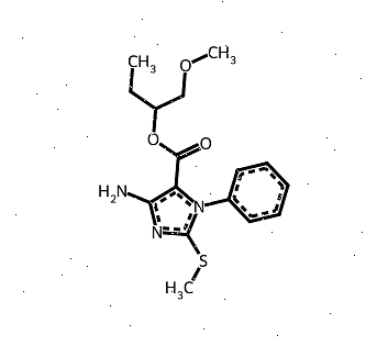 CCC(COC)OC(=O)c1c(N)nc(SC)n1-c1ccccc1